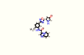 Cc1ccc(-c2noc([C@@H]3CC(=O)CN3)n2)cc1NC(=O)c1cnc2ccccn12